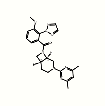 COc1cccc(C(=O)N2C[C@H]3CCN(c4nc(C)cc(C)n4)C[C@H]32)c1-n1nccn1